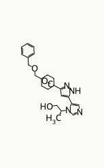 C[C@@H](CO)n1cncc1-c1cc(C23CCC(COCc4ccccc4)(CC2)OC3)n[nH]1